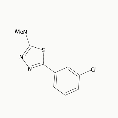 CNc1nnc(-c2cccc(Cl)c2)s1